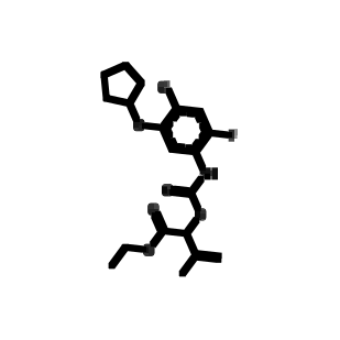 C=C(C)C(OC(=O)Nc1cc(OC2CCCC2)c(Cl)cc1F)C(=O)OCC